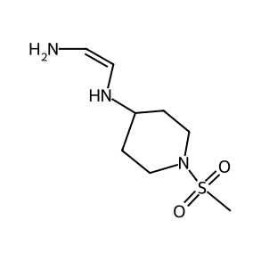 CS(=O)(=O)N1CCC(N/C=C\N)CC1